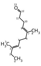 CCC(C)=CCCC(C)=CCCC=O